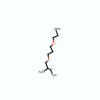 COCCOCCCSCC(COC(C)=O)OC(C)=O